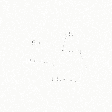 CCOC(=O)C1(C)[N]CCNC1C